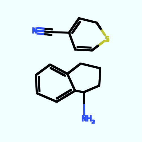 N#CC1=CCSC=C1.NC1CCCc2ccccc21